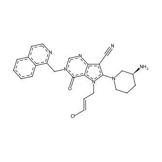 N#Cc1c(N2CCC[C@H](N)C2)n(CC=CCl)c2c(=O)n(Cc3nccc4ccccc34)cnc12